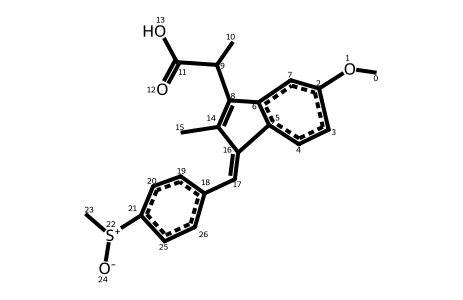 COc1ccc2c(c1)C(C(C)C(=O)O)=C(C)C2=Cc1ccc([S+](C)[O-])cc1